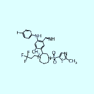 Cc1ncc(S(=O)(=O)N2CCCN(CCC(F)(F)F)C(c3cc(C=N)c(Nc4ccc(F)cc4)cc3C)C2)s1